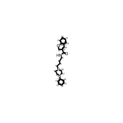 O=C(NCCCCN1CCN(c2ccccc2)CC1)C1=Cc2ccccc2OC1